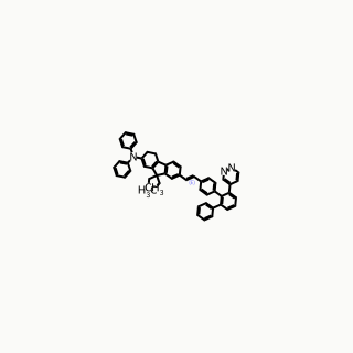 CCC1(CC)C2=C(CCC(N(c3ccccc3)c3ccccc3)=C2)c2ccc(/C=C/c3ccc(-c4c(-c5ccccc5)cccc4-c4ccnnc4)cc3)cc21